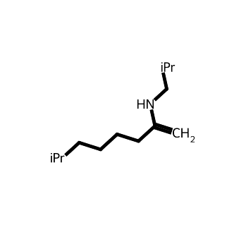 C=C(CCCCC(C)C)NCC(C)C